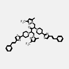 Cc1cc(C(F)(F)F)nn1CC(C(=O)C(Cn1nc(C(F)(F)F)cc1C)N1CCC(c2nc(C=Cc3ccccc3)cs2)CC1)N1CCC(c2nc(C=Cc3ccccc3)cs2)CC1